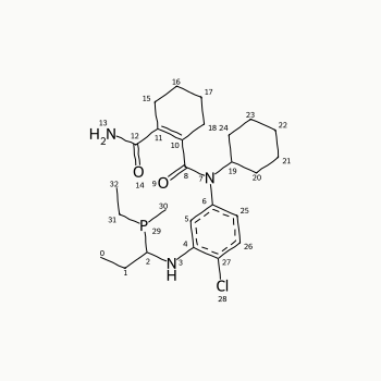 CCC(Nc1cc(N(C(=O)C2=C(C(N)=O)CCCC2)C2CCCCC2)ccc1Cl)P(C)CC